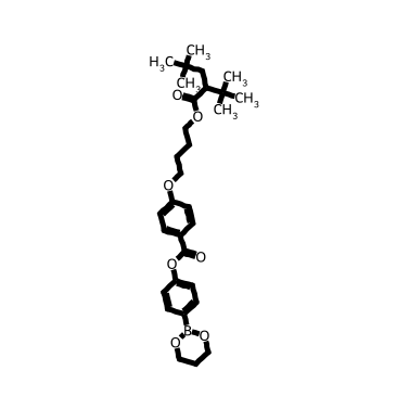 CC(C)(C)CC(C(=O)OCCCCOc1ccc(C(=O)Oc2ccc(B3OCCCO3)cc2)cc1)C(C)(C)C